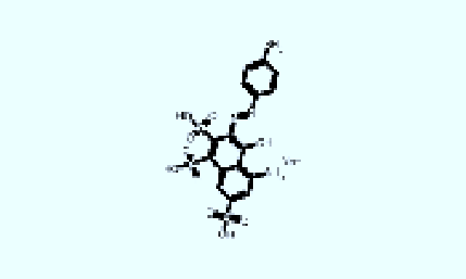 Nc1ccc(N=Nc2c(S(=O)(=O)O)c(S(=O)(=O)O)c3cc(S(=O)(=O)O)cc(N)c3c2O)cc1.[NaH]